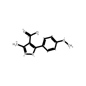 COc1ccc(-c2snc(C)c2C(=O)Cl)cc1